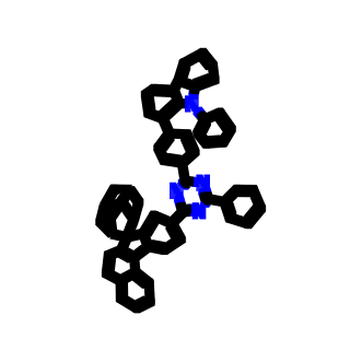 c1ccc(-c2nc(-c3ccc(-c4cccc5c6ccccc6n(-c6ccccc6)c45)cc3)nc(-c3ccc4c(c3)C3(c5ccc6ccccc6c5-4)C4CC5CC(C4)CC3C5)n2)cc1